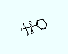 O=S(=O)(C1=C[CH]CC=C1)C(F)(F)F